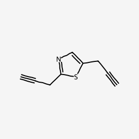 C#CCc1cnc(CC#C)s1